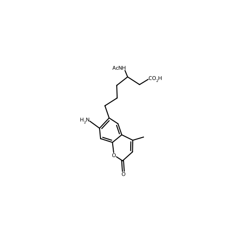 CC(=O)NC(CCCc1cc2c(C)cc(=O)oc2cc1N)CC(=O)O